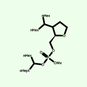 CCCCCCCC(CCCCCC)OP(=O)(OC)OC[C@@H]1OCCC1C(CCCCCC)CCCCCC